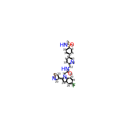 CS(=N)(=O)c1ccc(-c2ccc(CNC(=O)Cn3c(-c4cnsc4)cc4cc(F)ccc43)nc2)cc1